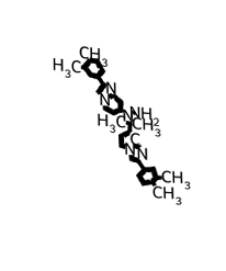 Cc1ccc(-c2cn3ccc(N(N)C(C)(C)c4ccn5cc(-c6ccc(C)c(C)c6)nc5c4)cc3n2)cc1C